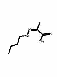 CCCCN/N=C(/C)C(=O)O